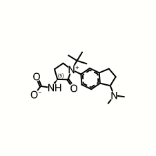 CN(C)C1CCc2cc([N+]3(C(C)(C)C)CC[C@H](NC(=O)[O-])C3=O)ccc21